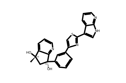 C[C@]1(O)C[C@](O)(c2cccc(-c3csc(-c4c[nH]c5ncccc45)n3)c2)c2ncccc21